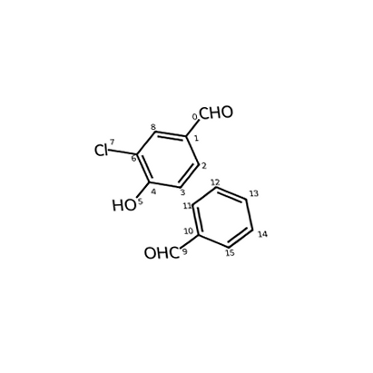 O=Cc1ccc(O)c(Cl)c1.O=Cc1ccccc1